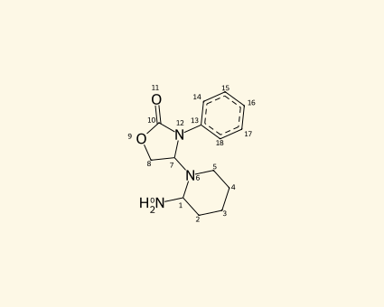 NC1CCCCN1C1COC(=O)N1c1ccccc1